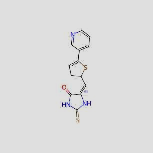 O=C1NC(=S)N/C1=C/C1CC=C(c2cccnc2)S1